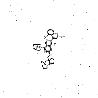 Oc1cc(-c2ncc3c(N4CC5CCC(C4)N5)nc(OCC45CCCN4C4CCCC4(F)C5)nc3c2F)c2c(Br)cccc2c1